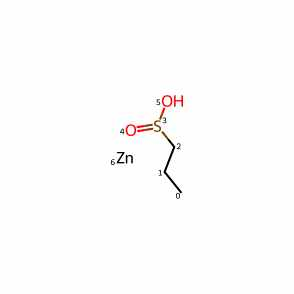 CCCS(=O)O.[Zn]